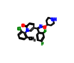 Cc1cccc(Cl)c1-n1cc(C(=NOC2CCNCC2)c2ccc(F)cc2F)ccc1=O